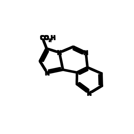 O=C(O)c1cnc2c3cnccc3ncn12